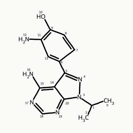 CC(C)n1nc(-c2ccc(O)c(N)c2)c2c(N)ncnc21